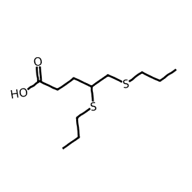 CCCSCC(CCC(=O)O)SCCC